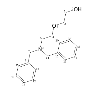 OCCOCCN(Cc1ccccc1)Cc1ccccc1